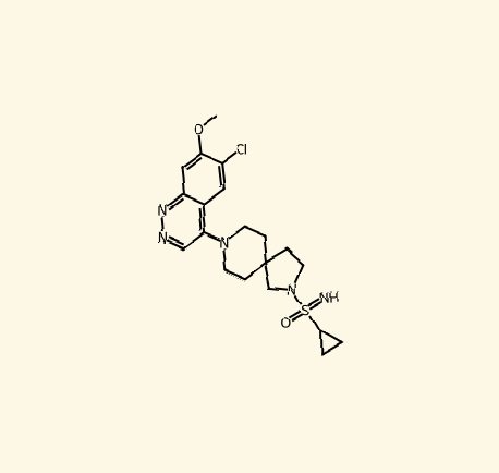 COc1cc2nncc(N3CCC4(CC3)CCN(S(=N)(=O)C3CC3)C4)c2cc1Cl